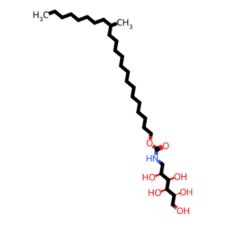 CCCCCCCCC(C)CCCCCCCCCCCCCCOC(=O)NC[C@H](O)[C@@H](O)[C@H](O)[C@H](O)CO